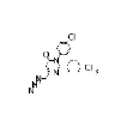 [N-]=[N+]=NCc1cc(=O)n(-c2ccc(Cl)cc2)c([C@H]2CC[C@@H](C(F)(F)F)CC2)n1